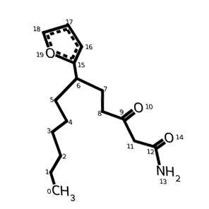 CCCCCCC(CCC(=O)CC(N)=O)c1ccco1